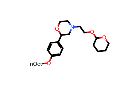 CCCCCCCCOc1ccc(C2CN(CCOC3CCCCO3)CCO2)cc1